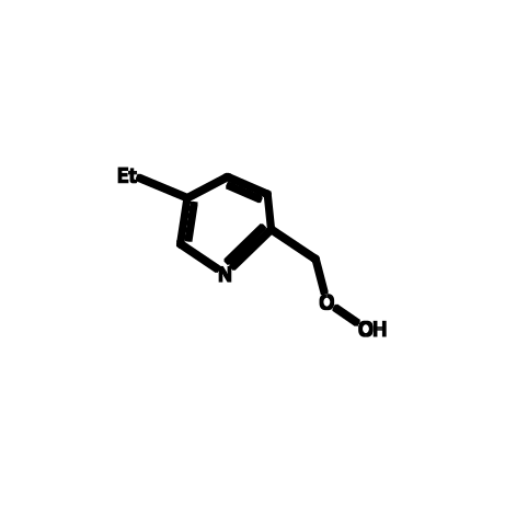 CCc1ccc(COO)nc1